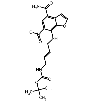 CC(C)(C)OC(=O)NC/C=C/CNc1c([N+](=O)[O-])cc(C(N)=O)c2ccoc12